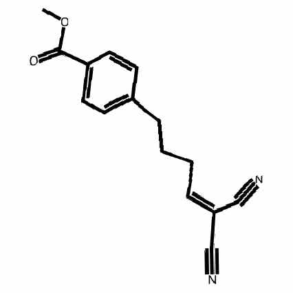 COC(=O)c1ccc(CCCC=C(C#N)C#N)cc1